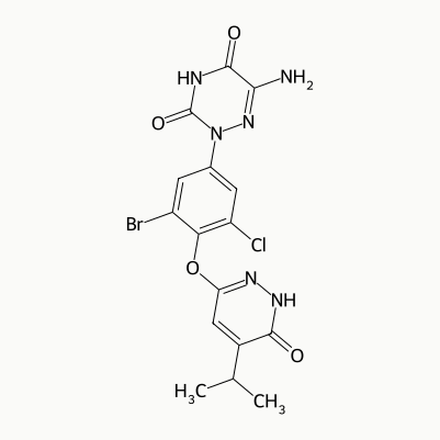 CC(C)c1cc(Oc2c(Cl)cc(-n3nc(N)c(=O)[nH]c3=O)cc2Br)n[nH]c1=O